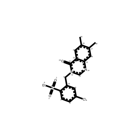 CCS(=O)(=O)c1ccc(Cl)cc1Cn1cnc2cc(C)c(C)cc2c1=O